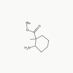 CC(C)(C)OC(=O)C1(C)CCCCC1N